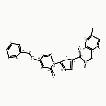 Cc1cnc(CN(C)C(=O)c2cnc(-n3ccc(OCc4ccccc4)cc3=O)s2)cn1